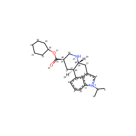 CC(C)n1cc2c3c(cccc31)[C@H]1C[C@@H](C(=O)OC3CCCCC3)CN[C@@H]1C2